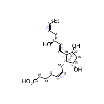 CC/C=C\C[C@H](O)/C=C/[C@@H]1[C@@H](C/C=C\CCCC(=O)O)[C@@H](O)C[C@@H]1O